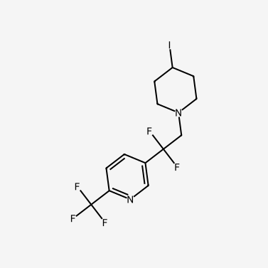 FC(F)(F)c1ccc(C(F)(F)CN2CCC(I)CC2)cn1